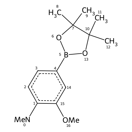 CNc1ccc(B2OC(C)(C)C(C)(C)O2)cc1OC